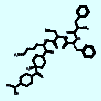 CC(C)C[C@@H](NC(=O)[C@@H](Cc1ccccc1)NC(=O)[C@H](N)Cc1ccccc1)C(=O)N[C@H](CCCCN)C(=O)N1CCC(N)(C(=O)N2CCC(B(O)O)CC2)CC1